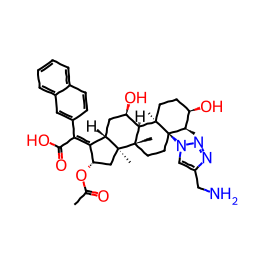 CC(=O)O[C@H]1C[C@@]2(C)[C@@H](C[C@@H](O)[C@@H]3[C@]2(C)CC[C@@]2(n4cc(CN)nn4)[C@H](C)[C@H](O)CC[C@]32C)/C1=C(/C(=O)O)c1ccc2ccccc2c1